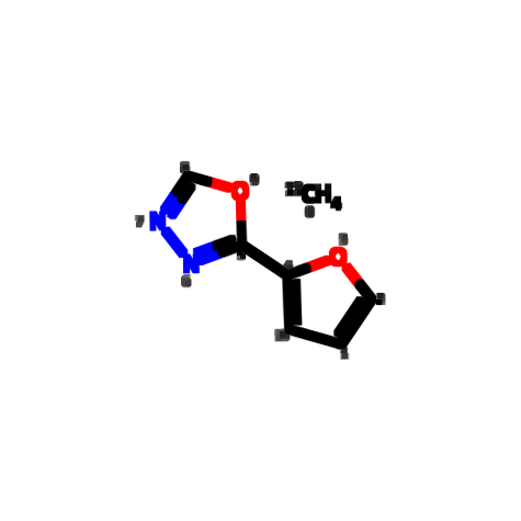 [13CH4].c1coc(-c2nnco2)c1